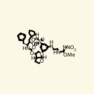 COC(=N[N+](=O)[O-])NCCNc1cccc(S(=O)(=O)NOC2(C[C@@H](O)[C@H](Cc3ccccc3)NC(=O)O[C@@H]3CO[C@@H]4OCC[C@@H]43)CCCC2)c1